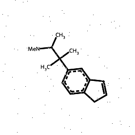 CNC(C)C(C)(C)c1ccc2c(c1)C=CC2